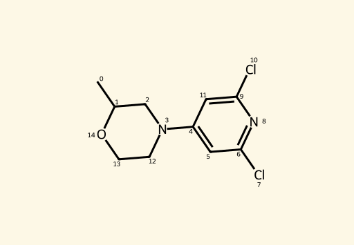 CC1CN(c2cc(Cl)nc(Cl)c2)CCO1